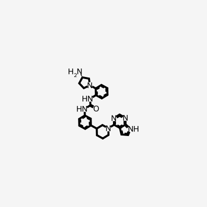 N[C@H]1CCN(c2ccccc2NC(=O)Nc2cccc(C3CCCN(c4ncnc5[nH]ccc45)C3)c2)C1